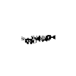 CC(NC(=O)c1cnn(Cc2cn3cc(C4CC4)ccc3n2)c1)c1ncn2ccc(Br)cc12